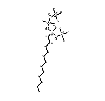 CCCCCCCCCCCC[Si](C)(O[Si](C)(C)C)O[Si](C)(C)O[Si](C)(C)C